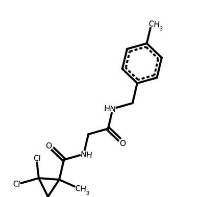 Cc1ccc(CNC(=O)CNC(=O)C2(C)CC2(Cl)Cl)cc1